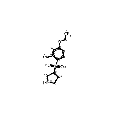 O=S(=O)(c1ccc(OCC(F)(F)F)cc1Cl)C1CCNC1